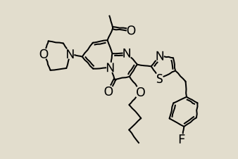 CCCCOc1c(-c2ncc(Cc3ccc(F)cc3)s2)nc2c(C(C)=O)cc(N3CCOCC3)cn2c1=O